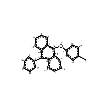 Cc1ccc(Oc2c3ccccc3c(-c3ccccc3)c3ncccc23)cc1